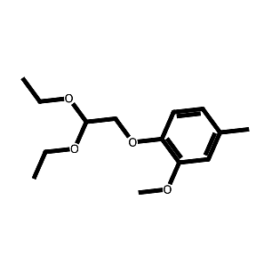 CCOC(COc1ccc(C)cc1OC)OCC